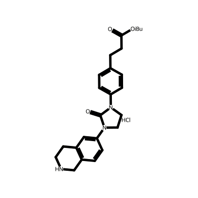 CC(C)COC(=O)CCc1ccc(N2CCN(c3ccc4c(c3)CCNC4)C2=O)cc1.Cl